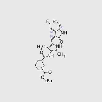 CC/C=C1/NC(=O)C(=C\c2[nH]c(C)c(NC(=O)C3CCCN(C(=O)OC(C)(C)C)C3)c2C)/C1=C/CF